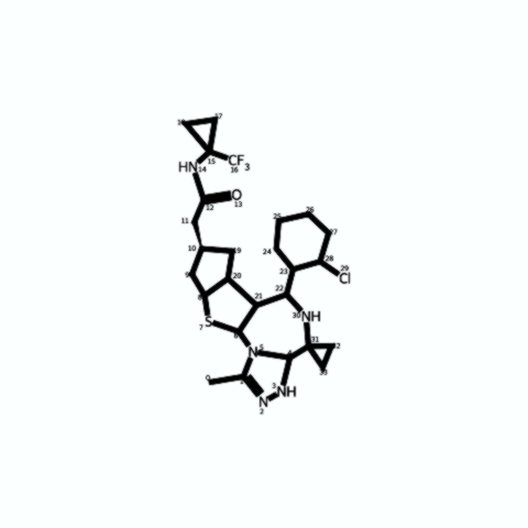 CC1=NNC2N1C1SC3C[C@@H](CC(=O)NC4(C(F)(F)F)CC4)CC3C1C(C1CCCCC1Cl)NC21CC1